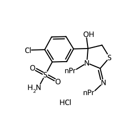 CCCN=C1SCC(O)(c2ccc(Cl)c(S(N)(=O)=O)c2)N1CCC.Cl